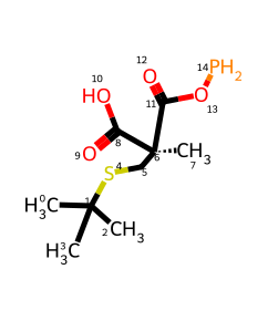 CC(C)(C)SC[C@@](C)(C(=O)O)C(=O)OP